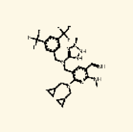 CNc1nc(N(CC2CC2)CC2CC2)c(CN(Cc2cc(C(F)(F)F)cc(C(F)(F)F)c2)C2=NN(C)NN2)cc1C=N